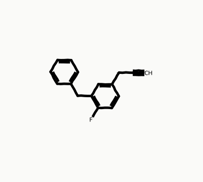 C#C[CH]c1ccc(F)c(Cc2ccccc2)c1